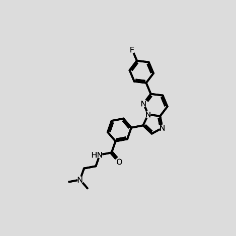 CN(C)CCNC(=O)c1cccc(-c2cnc3ccc(-c4ccc(F)cc4)nn23)c1